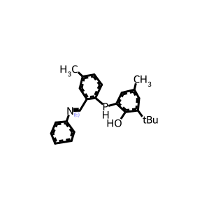 Cc1ccc(Pc2cc(C)cc(C(C)(C)C)c2O)c(/C=N/c2ccccc2)c1